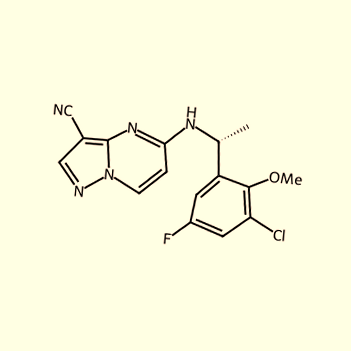 COc1c(Cl)cc(F)cc1[C@@H](C)Nc1ccn2ncc(C#N)c2n1